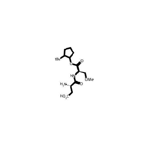 COC[C@@H](NC(=O)[C@@H](N)CC(=O)O)C(=O)OC1CCCC1C(C)(C)C